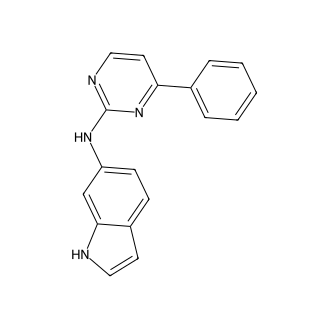 c1ccc(-c2ccnc(Nc3ccc4cc[nH]c4c3)n2)cc1